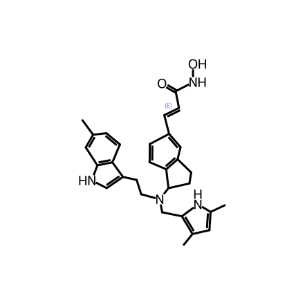 Cc1ccc2c(CCN(Cc3[nH]c(C)cc3C)C3CCc4cc(/C=C/C(=O)NO)ccc43)c[nH]c2c1